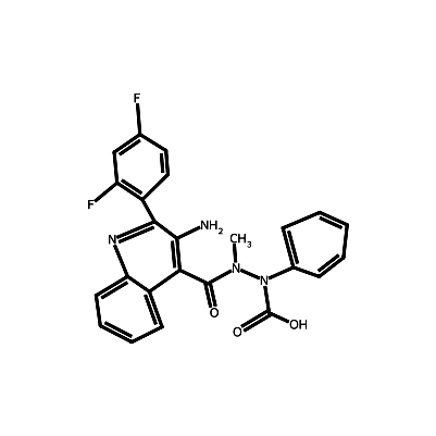 CN(C(=O)c1c(N)c(-c2ccc(F)cc2F)nc2ccccc12)N(C(=O)O)c1ccccc1